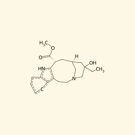 CCC1(O)C[C@@H]2C[C@@H](C(=O)OC)c3[nH]c4ccccc4c3CCN(C2)C1